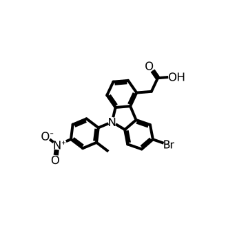 Cc1cc([N+](=O)[O-])ccc1-n1c2ccc(Br)cc2c2c(CC(=O)O)cccc21